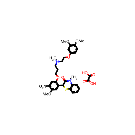 COc1ccc(OCCN(C)CCCOc2cc([N+](=O)[O-])c(OC)cc2C2Sc3ccccc3N(C)C2=O)cc1OC.O=C(O)C(=O)O